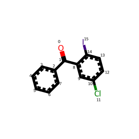 O=C(c1ccccc1)c1cc(Cl)ccc1I